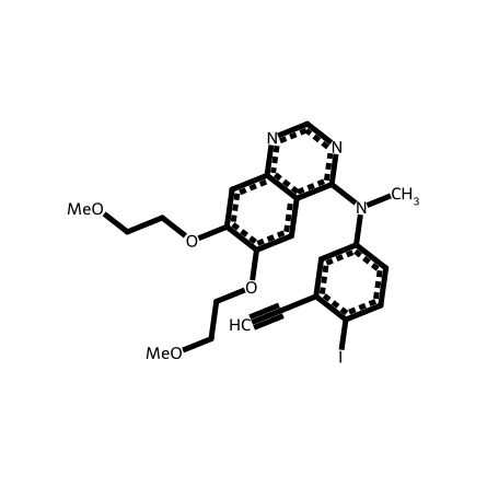 C#Cc1cc(N(C)c2ncnc3cc(OCCOC)c(OCCOC)cc23)ccc1I